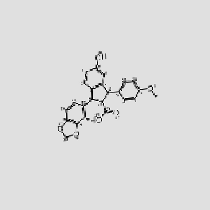 COc1ccc(C2c3cc(O)ccc3C(c3ccc4c(c3)OCO4)C2C(=O)O)cc1